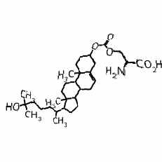 CC(CCCC(C)(C)O)C1CCC2C3CC=C4CC(OC(=O)OCC(N)C(=O)O)CCC4(C)C3CCC12C